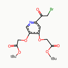 CC(C)(C)OC(=O)COc1cnc(C(=O)CBr)cc1OCC(=O)OC(C)(C)C